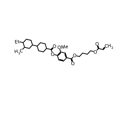 C=CC(=O)OCCCCOC(=O)c1ccc(OC(=O)C2CCC(C3CCC(CC)C(C)C3)CC2)c(OC)c1